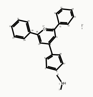 CNC.[I-].c1ccc(-c2cc(-c3ccccc3)[o+]c(-c3ccccc3)c2)cc1